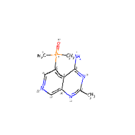 Cc1nc(N)c2c(P(C)(C)=O)cncc2n1